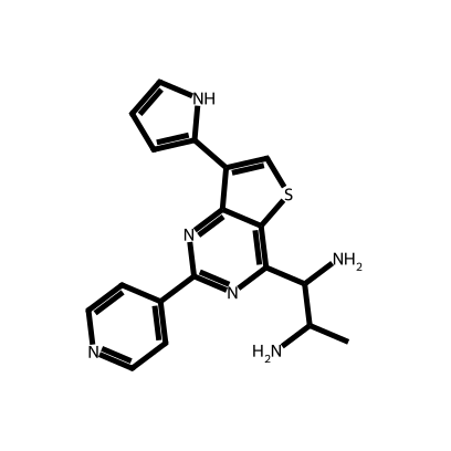 CC(N)C(N)c1nc(-c2ccncc2)nc2c(-c3ccc[nH]3)csc12